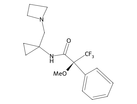 CO[C@](C(=O)NC1(CN2CCC2)CC1)(c1ccccc1)C(F)(F)F